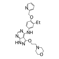 CCc1cc(Nc2ncnc3[nH]nc(OCCN4CCOCC4)c23)ccc1OCc1ccccn1